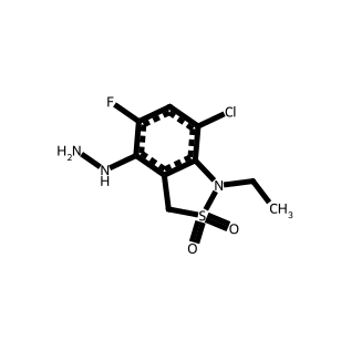 CCN1c2c(Cl)cc(F)c(NN)c2CS1(=O)=O